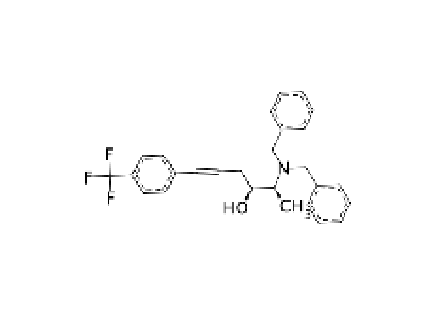 C[C@@H]([C@@H](O)CC#Cc1ccc(C(F)(F)F)cc1)N(Cc1ccccc1)Cc1ccccc1